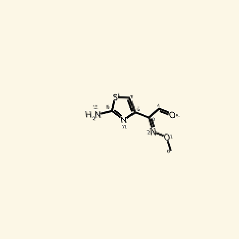 CO/N=C(\C=O)c1csc(N)n1